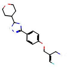 NC/C(=C\F)COc1ccc(C2=NNC(C3CCOCC3)N2)cc1